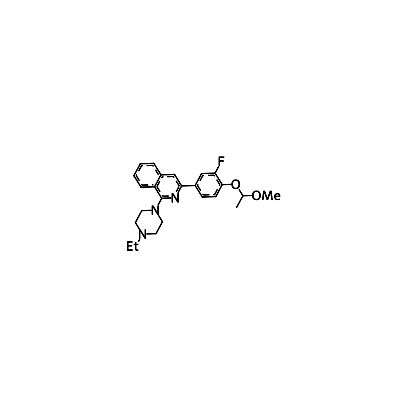 CCN1CCN(c2nc(-c3ccc(OC(C)OC)c(F)c3)cc3ccccc23)CC1